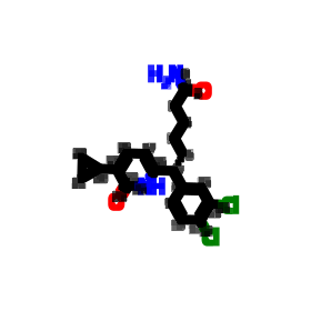 NC(=O)CCCC[C@H](c1ccc(Cl)c(Cl)c1)c1ccc(C2CC2)c(=O)[nH]1